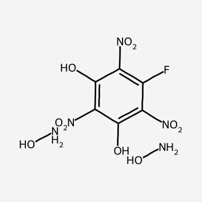 NO.NO.O=[N+]([O-])c1c(O)c([N+](=O)[O-])c(F)c([N+](=O)[O-])c1O